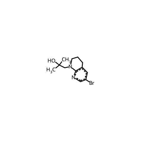 CC(C)(O)CN1CCCc2cc(Br)cnc21